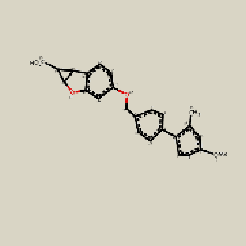 COc1ccc(-c2ccc(COc3ccc4c(c3)OC3C(C(=O)O)C43)cc2)c(C)c1